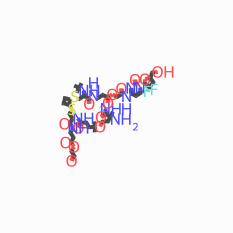 CNC(=O)C(C)(N)CCOC(C)(C)CCC(=O)NC(CSC1CCC1SCC(NC(C)(C)C)C(=O)NCCC(=O)OCC(=O)Nc1ccn(C2OC(CO)CC2(F)F)c(=O)n1)C(=O)NCCC(=O)OCC=O